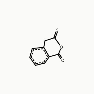 O=C1OC(=S)Cc2ccccc21